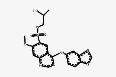 COc1cc2ncnc(Nc3ccc4scnc4c3)c2cc1S(=O)(=O)NCC(C)O